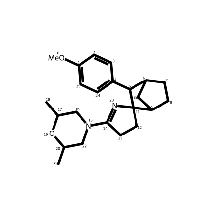 COc1ccc(C2C3CCC(C3)C23CCC(N2CC(C)OC(C)C2)=N3)cc1